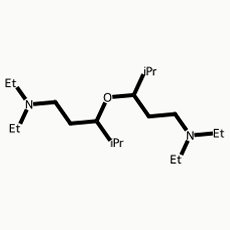 CCN(CC)CCC(OC(CCN(CC)CC)C(C)C)C(C)C